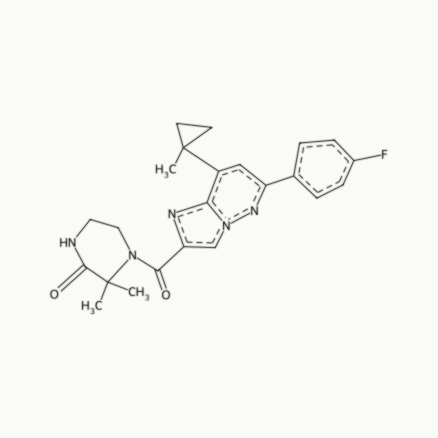 CC1(c2cc(-c3ccc(F)cc3)nn3cc(C(=O)N4CCNC(=O)C4(C)C)nc23)CC1